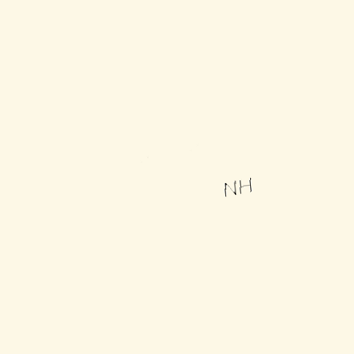 C=CC(=C)C(C)=N